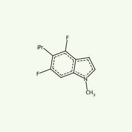 CC(C)c1c(F)cc2c(ccn2C)c1F